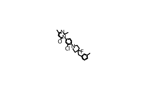 Cc1cccc(CC2(F)CCN(c3ccc(-n4c(C)nc(C)cc4=O)cc3Cl)CC2)c1